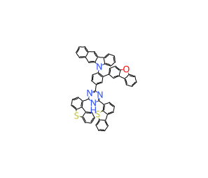 c1ccc2cc3c(cc2c1)c1ccccc1n3-c1ccc(C2=NC(c3cccc4sc5ccccc5c34)NC(c3cccc4c3sc3ccccc34)=N2)cc1-c1ccc2oc3ccccc3c2c1